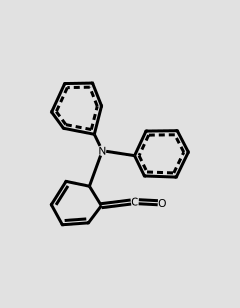 O=C=C1C=CC=CC1N(c1ccccc1)c1ccccc1